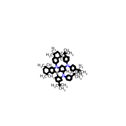 CC(C)(C)c1ccc(N(c2ccc(C(C)(C)C)cc2)c2cc3c4c(c2)N(c2ccc5c(c2)C(C)(C)CCC5(C)C)c2cc5c(cc2B4c2ccc(C(C)(C)C)cc2N3c2cccc(C(C)(C)C)c2)C(C)(C)CCC5(C)C)cc1